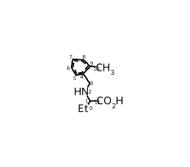 CCC(NCc1ccccc1C)C(=O)O